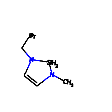 CC(C)CN1C=CN(C)[SiH2]1